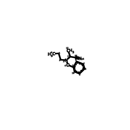 CCCN(Oc1ccccc1)C(C)C#N